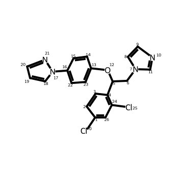 Clc1ccc(C(Cn2ccnc2)Oc2ccc(-n3cccn3)cc2)c(Cl)c1